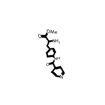 COC(=O)C(N)Cc1ccc(NC(=O)c2ccncc2)cc1